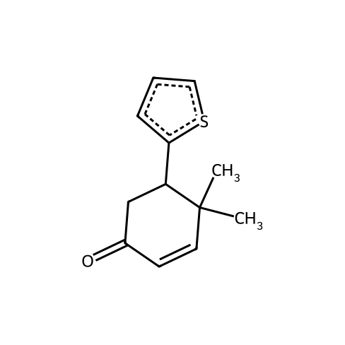 CC1(C)C=CC(=O)CC1c1cccs1